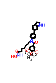 COc1cc(C(=O)N(CCCCCCC(=O)NO)c2ccc(-c3ccc4cc[nH]c4c3)cc2)cc(OC)c1OC